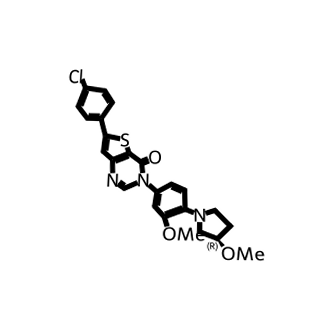 COc1cc(-n2cnc3cc(-c4ccc(Cl)cc4)sc3c2=O)ccc1N1CC[C@@H](OC)C1